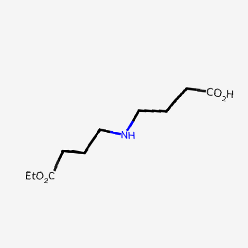 CCOC(=O)CCCNCCCC(=O)O